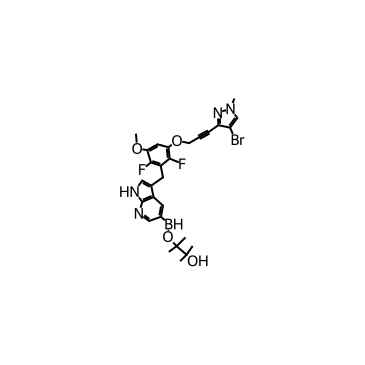 COc1cc(OCC#Cc2nn(C)cc2Br)c(F)c(Cc2c[nH]c3ncc(BOC(C)(C)C(C)(C)O)cc23)c1F